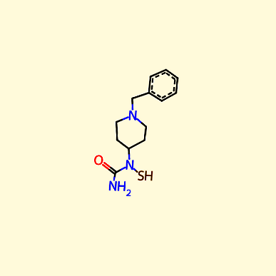 NC(=O)N(S)C1CCN(Cc2ccccc2)CC1